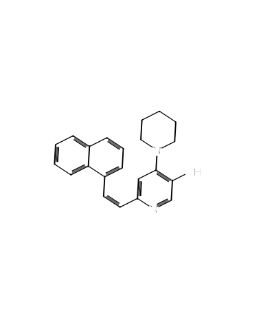 Cc1cnc(/C=C\c2cccc3ccccc23)cc1N1CCCCC1